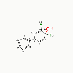 OC1(F)C=CC(c2ccccc2)C=C1F